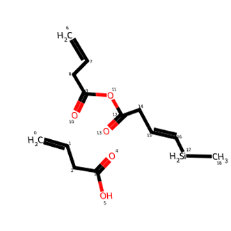 C=CCC(=O)O.C=CCC(=O)OC(=O)CC=C[SiH2]C